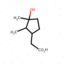 CC1C(CC(=O)O)CCC1(C)O